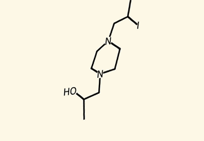 CC(O)CN1CCN(CC(C)I)CC1